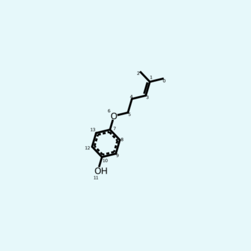 CC(C)=CCCOc1ccc(O)cc1